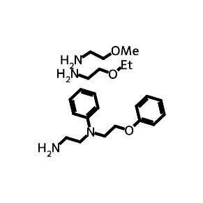 CCOCCN.COCCN.NCCN(CCOc1ccccc1)c1ccccc1